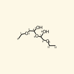 CCOCC(O)OC(O)COCC